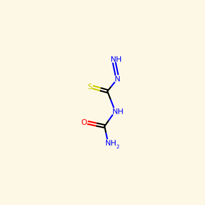 N=NC(=S)NC(N)=O